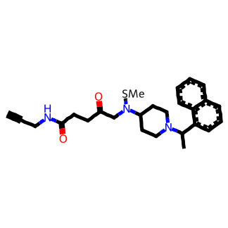 C#CCNC(=O)CCC(=O)CN(SC)C1CCN(C(C)c2cccc3ccccc23)CC1